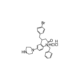 Cl.Cl.O=C1CC(Cc2ccc(Br)cc2)c2cc(N3CCNCC3)ccc2N1Cc1ccccc1